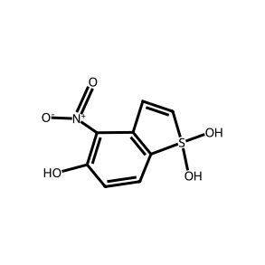 O=[N+]([O-])c1c(O)ccc2c1C=CS2(O)O